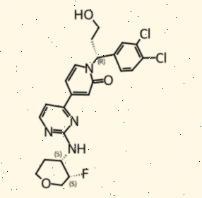 O=c1cc(-c2ccnc(N[C@H]3CCOC[C@H]3F)n2)ccn1[C@H](CCO)c1ccc(Cl)c(Cl)c1